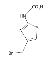 O=C(O)Nc1nc(CBr)cs1